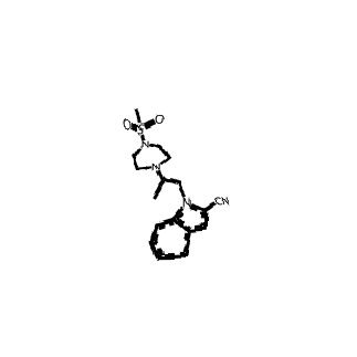 CC(Cn1c(C#N)cc2ccccc21)N1CCN(S(C)(=O)=O)CC1